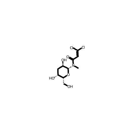 CN(C(=O)C=C(Cl)Cl)[C@@H]1O[C@H](CO)[C@H](O)C[C@H]1O